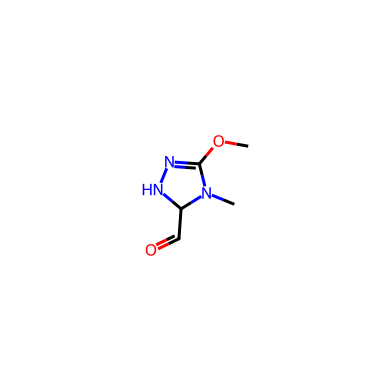 COC1=NNC(C=O)N1C